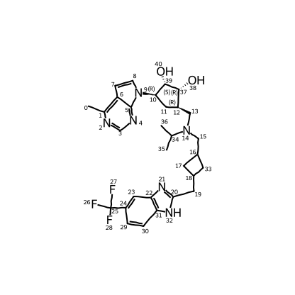 Cc1ncnc2c1ccn2[C@@H]1C[C@H](CN(CC2CC(Cc3nc4cc(C(F)(F)F)ccc4[nH]3)C2)C(C)C)[C@@H](O)[C@H]1O